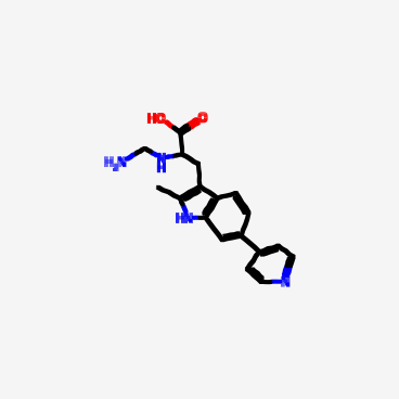 Cc1[nH]c2cc(-c3ccncc3)ccc2c1CC(NCN)C(=O)O